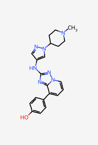 CN1CCC(n2cc(Nc3nc4c(-c5ccc(O)cc5)cccn4n3)cn2)CC1